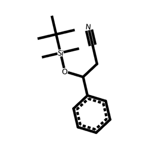 CC(C)(C)[Si](C)(C)OC(CC#N)c1ccccc1